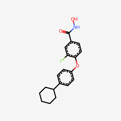 O=C(NO)c1ccc(Oc2ccc(C3CCCCC3)cc2)c(F)c1